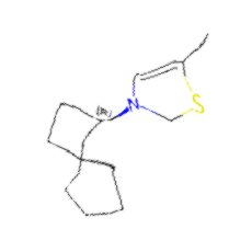 CC1=CN([C@@H]2CCC23CCCC3)CS1